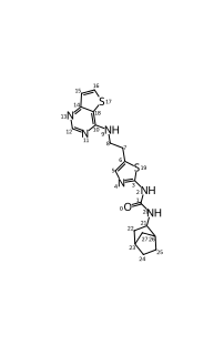 O=C(Nc1ncc(CCNc2ncnc3ccsc23)s1)NC1CC2CCC1C2